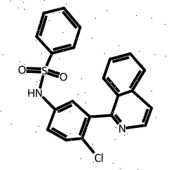 O=S(=O)(Nc1ccc(Cl)c(-c2nccc3ccccc23)c1)c1ccccc1